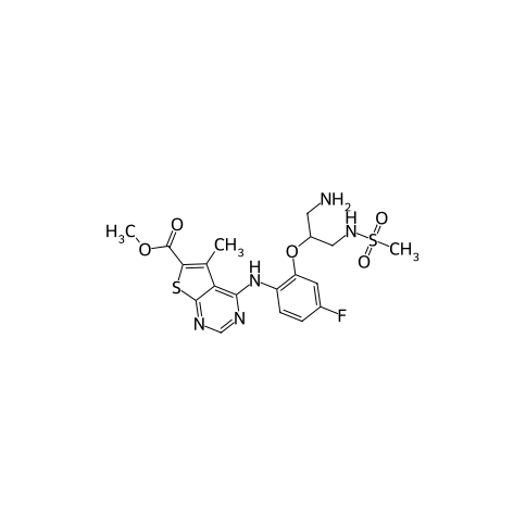 COC(=O)c1sc2ncnc(Nc3ccc(F)cc3OC(CN)CNS(C)(=O)=O)c2c1C